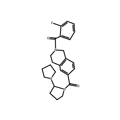 O=C(c1ccccc1F)N1CCc2cc(C(=O)N3CCCC3N3CCCC3)ccc2C1